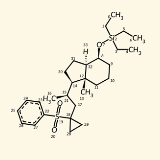 CC[Si](CC)(CC)O[C@H]1CCC[C@]2(C)[C@@H]([C@H](C)CC3(S(=O)(=O)c4ccccc4)CC3)CC[C@@H]12